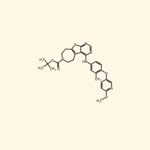 COc1ccc(Oc2ccc(Nc3ncnc4sc5c(c34)CCN(C(=O)OC(C)(C)C)CC5)cc2C)cn1